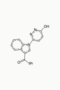 CC(C)C(=O)c1cn(-c2ccc(O)nn2)c2ccccc12